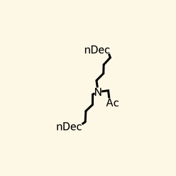 CCCCCCCCCCCCCCN(CCCCCCCCCCCCCC)CC(C)=O